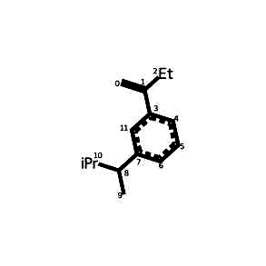 C=C(CC)c1cccc(C(C)C(C)C)c1